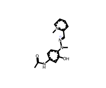 CC(=O)Nc1ccc(N(C)/N=C/c2cccc[n+]2C)c(O)c1